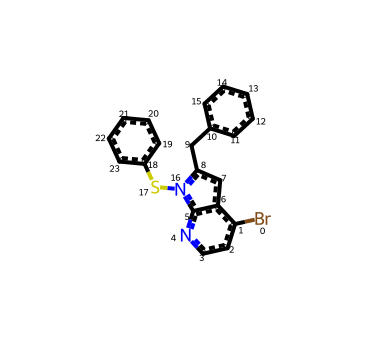 Brc1ccnc2c1cc(Cc1ccccc1)n2Sc1ccccc1